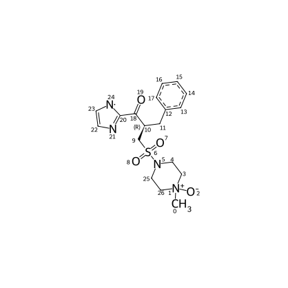 C[N+]1([O-])CCN(S(=O)(=O)C[C@H](Cc2ccccc2)C(=O)C2=NC=C[N]2)CC1